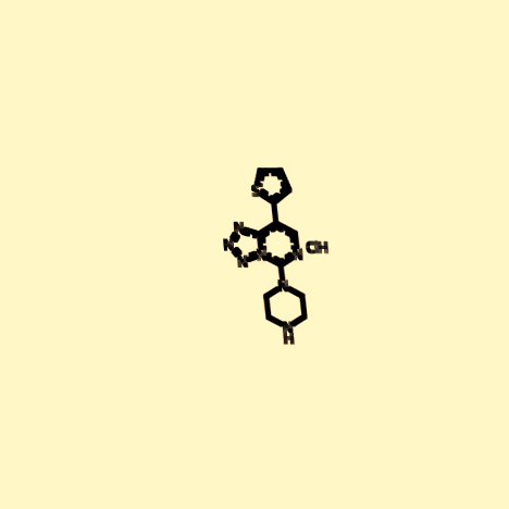 Cl.c1csc(-c2cnc(N3CCNCC3)n3nnnc23)c1